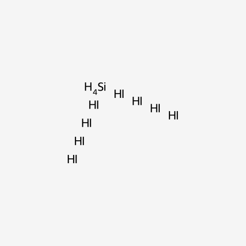 I.I.I.I.I.I.I.I.[SiH4]